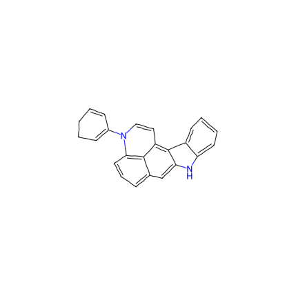 C1=CC(N2C=Cc3c4c2cccc4cc2[nH]c4ccccc4c32)=CCC1